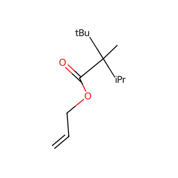 C=CCOC(=O)C(C)(C(C)C)C(C)(C)C